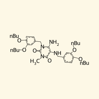 CCCCOc1ccc(CNc2c(N)n(Cc3ccc(OCCCC)c(OCCCC)c3)c(=O)n(C)c2=O)cc1OCCCC